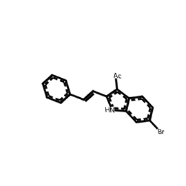 CC(=O)c1c(C=Cc2ccccc2)[nH]c2cc(Br)ccc12